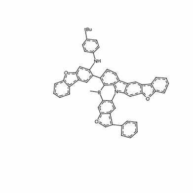 CB1c2cc3occ(-c4ccccc4)c3cc2-n2c3cc4oc5ccccc5c4cc3c3ccc(-c4cc5c(cc4Nc4ccc(C(C)(C)C)cc4)oc4ccccc45)c1c32